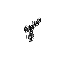 C=C(C)C(=O)OCCNC(=O)OCCOCCOC(=O)c1c(Br)c(Br)c(Br)c(Br)c1C(=O)OCCOCCOC(=O)NCCOC(=O)C(=C)C